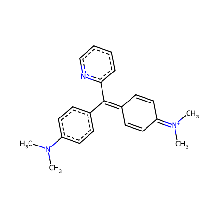 CN(C)c1ccc(C(=C2C=CC(=[N+](C)C)C=C2)c2ccccn2)cc1